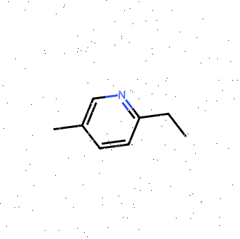 CCc1[c]cc(C)cn1